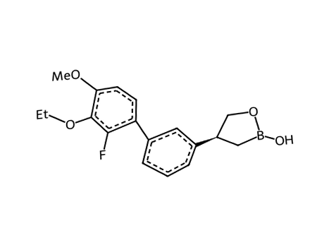 CCOc1c(OC)ccc(-c2cccc([C@H]3COB(O)C3)c2)c1F